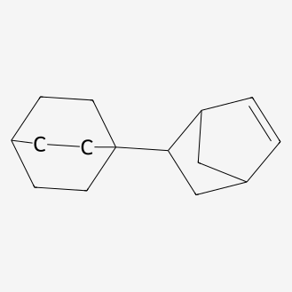 C1=CC2CC1CC2C12CCC(CC1)CC2